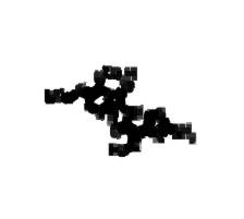 N#CCSC1=C(OC(=O)O)N2C(=O)[C@@H](NC(=O)/C(=N\O)c3csc(N)n3)[C@@H]2SC1